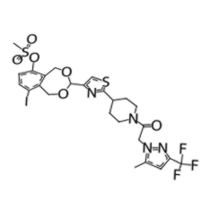 Cc1cc(C(F)(F)F)nn1CC(=O)N1CCC(c2nc(C3OCc4c(I)ccc(OS(C)(=O)=O)c4CO3)cs2)CC1